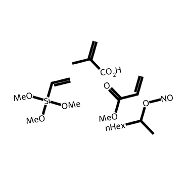 C=C(C)C(=O)O.C=CC(=O)OC.C=C[Si](OC)(OC)OC.CCCCCCC(C)ON=O